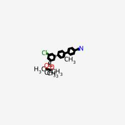 Cc1cc([C@H]2C=C(Cl)C=C(B3OC(C)(C)C(C)(C)O3)C2)ccc1-c1ccc(C#N)cc1